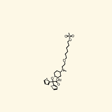 CN(CCOCCCCCCOS(C)(=O)=O)[C@H]1CC[C@H](OC(C(=O)O)(c2cccs2)c2cccs2)CC1